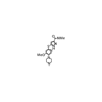 CNC(=O)c1cc(Sc2cc(OC)c(N3CCN(C)CC3)cn2)[nH]n1